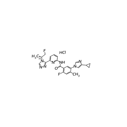 Cc1cc(F)c(C(=O)Nc2cccc(-c3nncn3[C@@H](C)CF)n2)cc1-n1cnc(C2CC2)c1.Cl